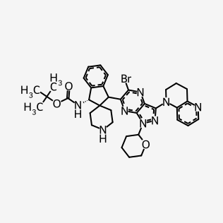 CC(C)(C)OC(=O)N[C@@H]1c2ccccc2C(c2nc3c(nc2Br)c(N2CCCc4ncccc42)nn3C2CCCCO2)C12CCNCC2